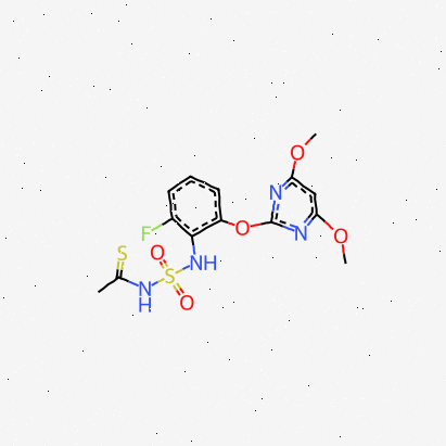 COc1cc(OC)nc(Oc2cccc(F)c2NS(=O)(=O)NC(C)=S)n1